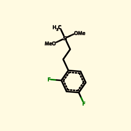 CO[Si](C)(CCc1ccc(F)cc1F)OC